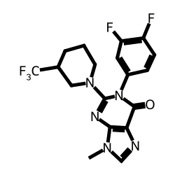 Cn1cnc2c(=O)n(-c3ccc(F)c(F)c3)c(N3CCCC(C(F)(F)F)C3)nc21